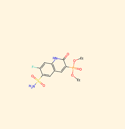 CCOP(=O)(OCC)c1cc2cc(S(N)(=O)=O)c(F)cc2[nH]c1=O